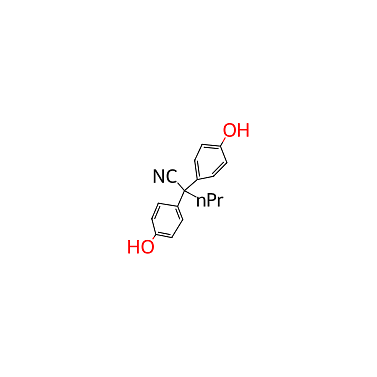 CCCC(C#N)(c1ccc(O)cc1)c1ccc(O)cc1